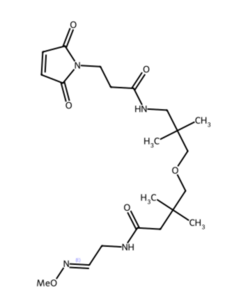 CO/N=C/CNC(=O)CC(C)(C)COCC(C)(C)CNC(=O)CCN1C(=O)C=CC1=O